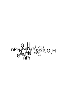 CCCn1c(=O)c2[nH]c(C3C4CC5C(C4CC(=O)O)C53)nc2n(CCC)c1=O